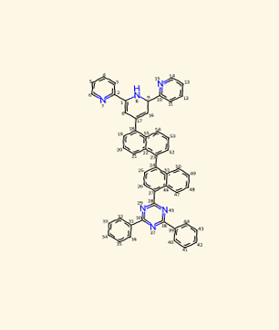 C1=C(c2ccccn2)NC(c2ccccn2)C=C1c1cccc2c(-c3ccc(-c4nc(-c5ccccc5)nc(-c5ccccc5)n4)c4ccccc34)cccc12